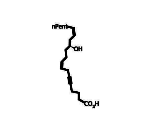 CCCCC/C=C\C[C@H](O)CC/C=C\CC#CCCCC(=O)O